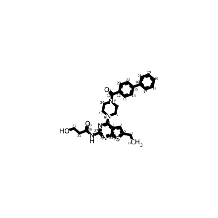 CCc1cc2c(N3CCN(C(=O)c4ccc(-c5ccccc5)cc4)CC3)nc(NC(=O)CCO)nc2s1